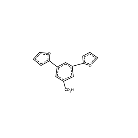 O=C(O)c1cc(-c2ccco2)cc(-c2ccco2)c1